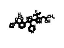 COc1c(C(=O)N2CCC2)cccc1-c1noc(-c2cnn(CC(C)O)c2C(F)(F)F)c1-c1ccncn1